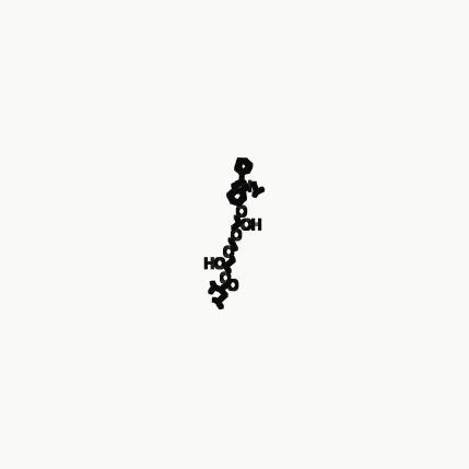 CC(C)CC(C(=O)OCC(O)COCCOCC(O)COc1ccc2cc(-c3ccccc3)n(CC(C)C)c2c1)C(C)C